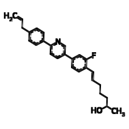 C=CCc1ccc(-c2ccc(-c3ccc(/C=C/CCCC(C)O)c(F)c3)cn2)cc1